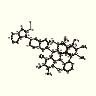 Bc1c(B)c(B)c(-c2ccccc2-c2c3c(B)c(B)c(B)c(B)c3c(-c3ccc4cc(-n5c(CC)nc6ccccc65)ccc4c3)c3c(B)c(B)c(B)c(O)c23)c(O)c1B